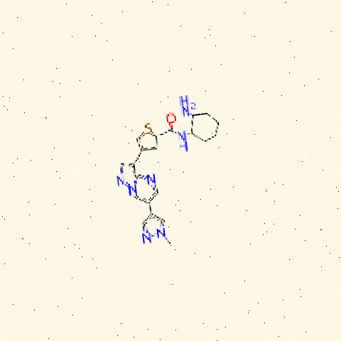 Cn1cc(-c2cnc3c(-c4csc(C(=O)N[C@H]5CCCC[C@H]5N)c4)cnn3c2)cn1